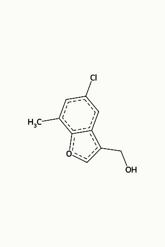 Cc1cc(Cl)cc2c(CO)coc12